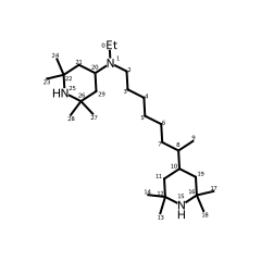 CCN(CCCCCCC(C)C1CC(C)(C)NC(C)(C)C1)C1CC(C)(C)NC(C)(C)C1